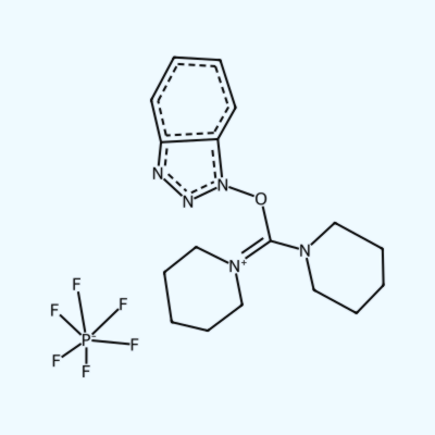 F[P-](F)(F)(F)(F)F.c1ccc2c(c1)nnn2OC(N1CCCCC1)=[N+]1CCCCC1